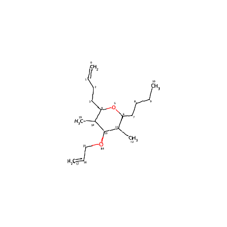 C=CCCC1OC(CCCC)C(C)C(OCC=C)C1C